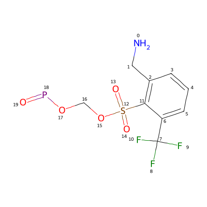 NCc1cccc(C(F)(F)F)c1S(=O)(=O)OCOP=O